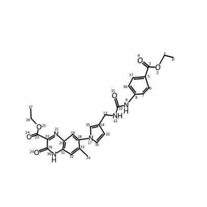 CCOC(=O)c1ccc(NC(=O)NCc2ccn(-c3cc4nc(C(=O)OCC)c(=O)[nH]c4cc3C)c2)cc1